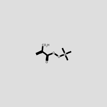 C=C(C(=O)O)C(=O)OO[Si](C)(C)C